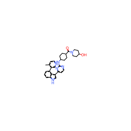 Cc1ccncc1-c1cccc2[nH]cc(-c3ccnc(NC4CCC(C(=O)N5CCC(O)CC5)CC4)n3)c12